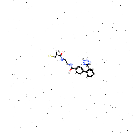 CC(CS)C(=O)NCCNC(=O)c1ccc(-c2ccccc2-c2nnn[nH]2)cc1